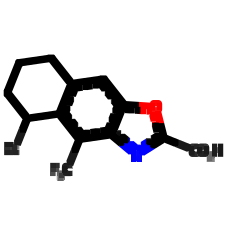 CCC1CCCc2cc3oc(C(=O)O)nc3c(C(F)(F)F)c21